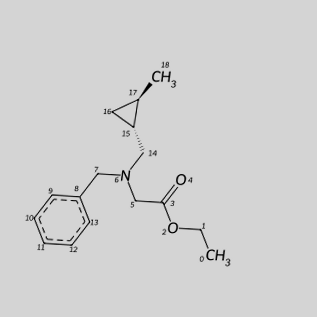 CCOC(=O)CN(Cc1ccccc1)C[C@@H]1C[C@H]1C